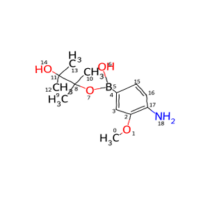 COc1cc(B(O)OC(C)(C)C(C)(C)O)ccc1N